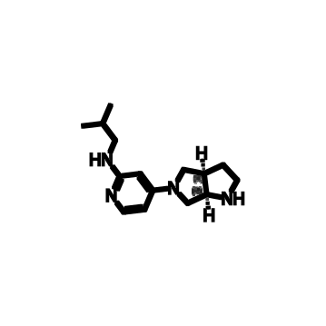 CC(C)CNc1cc(N2C[C@H]3CCN[C@H]3C2)ccn1